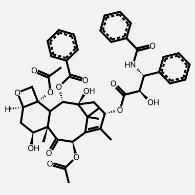 CC(=O)O[C@H]1C(=O)[C@@]2(C)C([C@H](OC(=O)c3ccccc3)[C@]3(O)C[C@H](OC(=O)[C@H](O)[C@H](NC(=O)c4ccccc4)c4ccccc4)C(C)=C1C3(C)C)[C@]1(OC(C)=O)CO[C@@H]1C[C@@H]2O